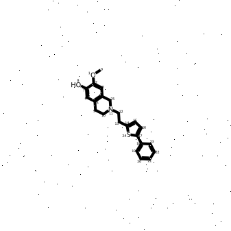 COc1cc2c(cc1O)CCN(CCc1ccc(-c3ccccc3)s1)C2